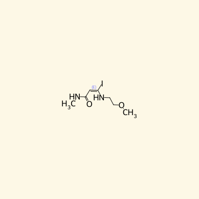 CNC(=O)/C=C(/I)NCCOC